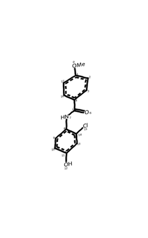 COc1ccc(C(=O)Nc2ccc(O)cc2Cl)cc1